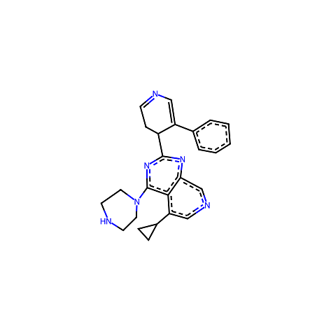 C1=NC=C(c2ccccc2)C(c2nc(N3CCNCC3)c3c(C4CC4)cncc3n2)C1